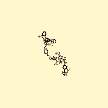 CC(C)[C@@H](C(=O)N1C[C@H](O)C[C@H]1C(=O)N[C@@H](C)c1ccc2c(c1)N(C)Cc1ncsc1-2)c1cc(OCCN2CCN(CCOc3cc(N4C5CCC4CN(c4cc(-c6ccccc6O)nnc4N)C5)ccn3)CC2)no1